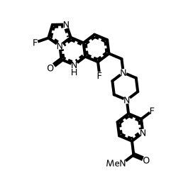 CNC(=O)c1ccc(N2CCN(Cc3ccc4c([nH]c(=O)n5c(F)cnc45)c3F)CC2)c(F)n1